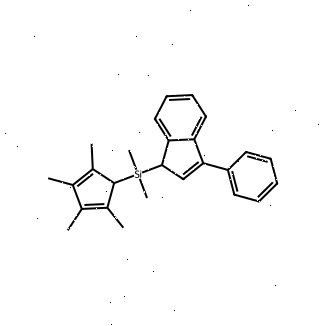 CC1=C(C)C([Si](C)(C)C2C=C(c3ccccc3)c3ccccc32)C(C)=C1C